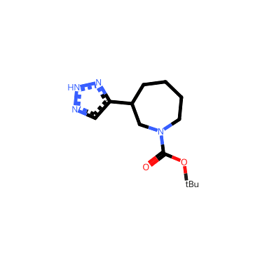 CC(C)(C)OC(=O)N1CCCCC(c2cn[nH]n2)C1